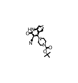 CC(C)(C)OC(=O)N1CCN(c2c(C#N)c(=O)[nH]c3cscc23)CC1